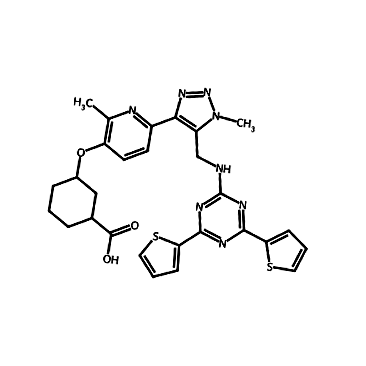 Cc1nc(-c2nnn(C)c2CNc2nc(-c3cccs3)nc(-c3cccs3)n2)ccc1OC1CCCC(C(=O)O)C1